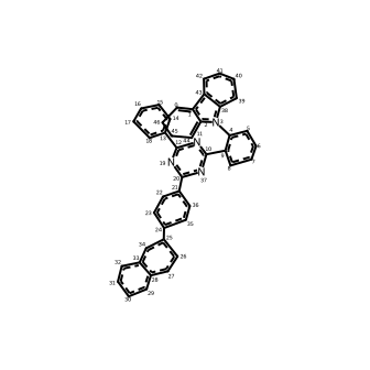 C1=c2c(n(-c3ccccc3-c3nc(-c4ccccc4)nc(-c4ccc(-c5ccc6ccccc6c5)cc4)n3)c3ccccc23)=CCC1